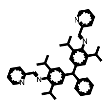 CC(C)c1cc(C(c2ccccc2)c2cc(C(C)C)c(N=Cc3ccccn3)c(C(C)C)c2)cc(C(C)C)c1N=Cc1ccccn1